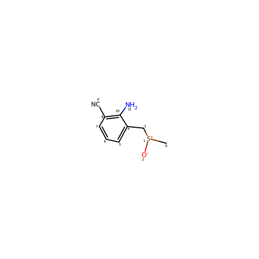 C[S+]([O-])Cc1cccc(C#N)c1N